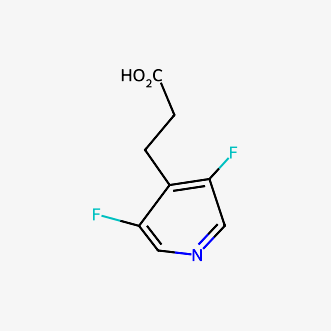 O=C(O)CCc1c(F)cncc1F